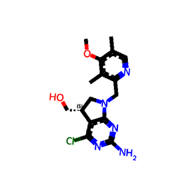 COc1c(C)cnc(CN2C[C@@H](CO)c3c(Cl)nc(N)nc32)c1C